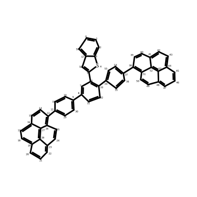 c1ccc2sc(-c3cc(-c4ccc(-c5ccc6ccc7cccc8ccc5c6c78)cc4)ccc3-c3ccc(-c4ccc5ccc6cccc7ccc4c5c67)cc3)cc2c1